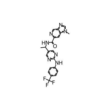 CC(NC(=O)c1cc2c(cn1)ncn2C)c1cnc(Nc2ccc(C(F)(F)F)cc2)nc1